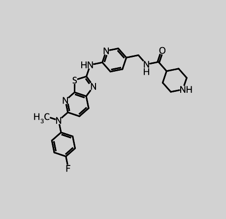 CN(c1ccc(F)cc1)c1ccc2nc(Nc3ccc(CNC(=O)C4CCNCC4)cn3)sc2n1